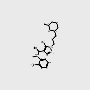 CC1CCCC(CCCn2ncc(C(O)N(C)c3ccccc3C(F)(F)F)c2C(C)C)C1